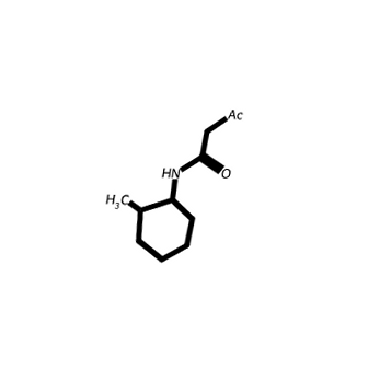 CC(=O)CC(=O)NC1CCCCC1C